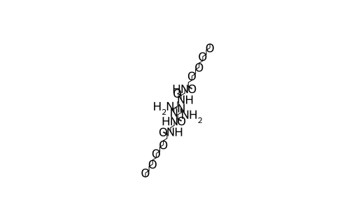 COCCOCCOCCOCCC(=O)NCCNC(=O)c1nc(N)c(CNC(=O)CNC(=O)CCOCCOCCOCCOC)nc1N